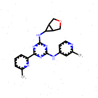 FC(F)(F)c1cc(Nc2nc(NC3C4COCC43)nc(-c3cccc(C(F)(F)F)n3)n2)ccn1